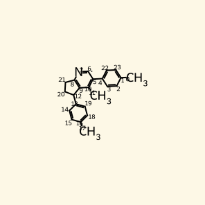 Cc1ccc(-c2[c]nc3c(c2C)C(c2ccc(C)cc2)CC3)cc1